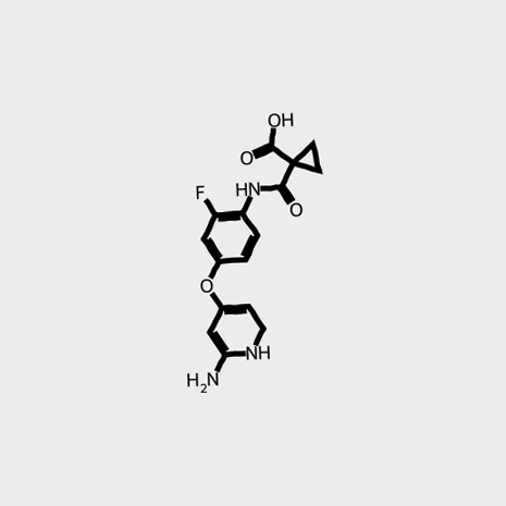 NC1=CC(Oc2ccc(NC(=O)C3(C(=O)O)CC3)c(F)c2)=CCN1